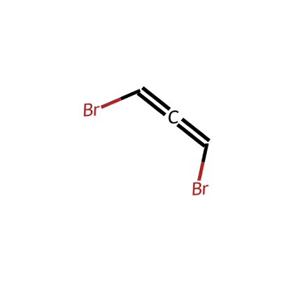 BrC=C=CBr